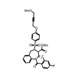 COCC#CCOc1ccc(S(=O)(=O)N2Cc3ccccc3N(C(=O)c3ccc(F)cc3C(F)(F)F)CC2C(=O)OC)cc1